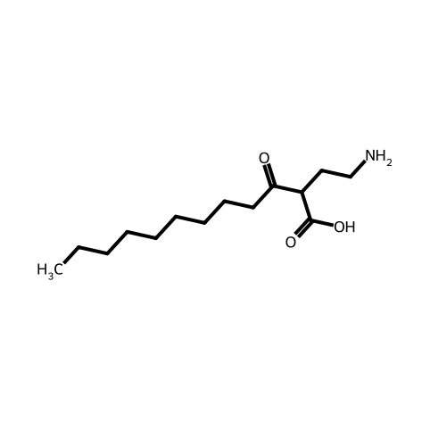 CCCCCCCCCC(=O)C(CCN)C(=O)O